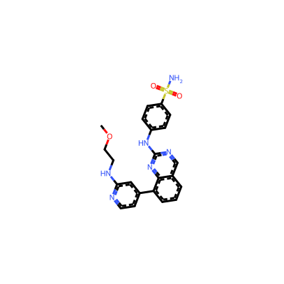 COCCNc1cc(-c2cccc3cnc(Nc4ccc(S(N)(=O)=O)cc4)nc23)ccn1